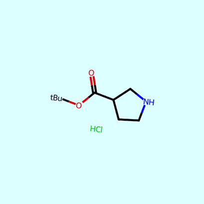 CC(C)(C)OC(=O)C1CCNC1.Cl